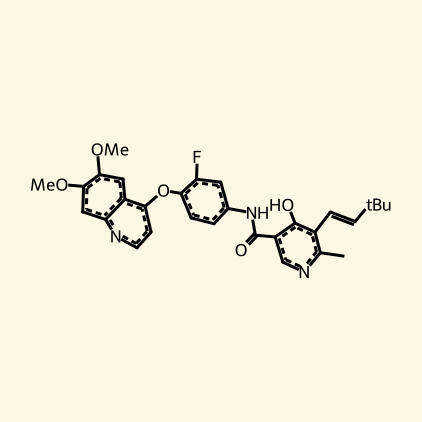 COc1cc2nccc(Oc3ccc(NC(=O)c4cnc(C)c(/C=C/C(C)(C)C)c4O)cc3F)c2cc1OC